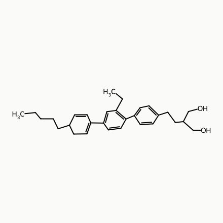 CCCCCC1C=CC(c2ccc(-c3ccc(CCC(CO)CO)cc3)c(CC)c2)=CC1